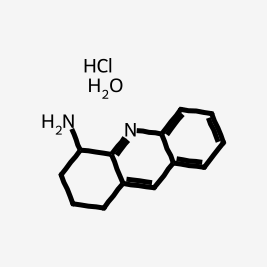 Cl.NC1CCCc2cc3ccccc3nc21.O